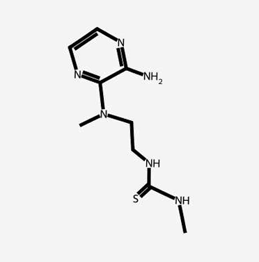 CNC(=S)NCCN(C)c1nccnc1N